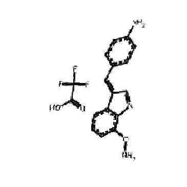 NOc1cccc2c1N=CC2=Cc1ccc(N)cc1.O=C(O)C(F)(F)F